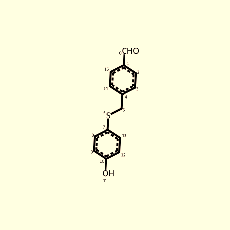 O=Cc1ccc(CSc2ccc(O)cc2)cc1